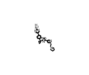 Nc1ncc(-c2ccc(C3(c4noc(-c5cnn(CCN6CCCC6)c5)n4)CCC3)cc2)cn1